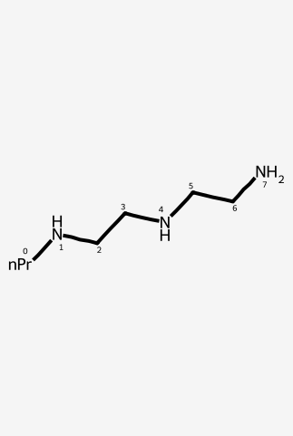 CCCNCCNCCN